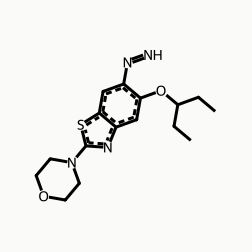 CCC(CC)Oc1cc2nc(N3CCOCC3)sc2cc1N=N